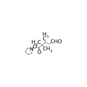 CC(CC=O)C(C)(C)C(=O)ON1CCCC1